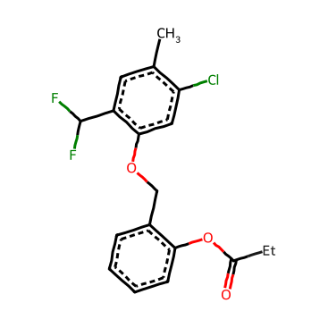 CCC(=O)Oc1ccccc1COc1cc(Cl)c(C)cc1C(F)F